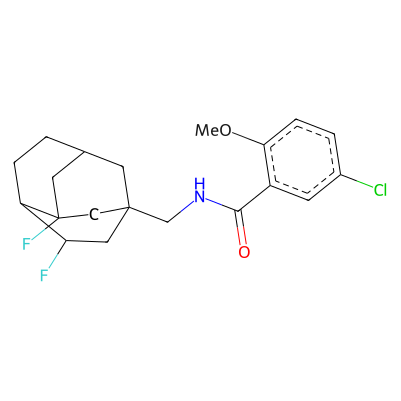 COc1ccc(Cl)cc1C(=O)NCC12CC3CCC(C(F)C1)C(F)(C3)C2